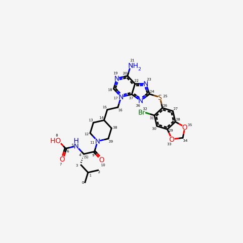 CC(C)C[C@H](NC(=O)O)C(=O)N1CCC(CCn2cnc(N)c3nc(Sc4cc5c(cc4Br)OCO5)nc2-3)CC1